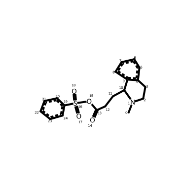 CN1CCc2ccccc2C1CCC(=O)OS(=O)(=O)c1ccccc1